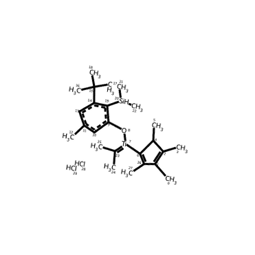 CC1=C(C)C(C)[C]([Ti]([O]c2cc(C)cc(C(C)(C)C)c2[SiH](C)C)=[C](C)C)=C1C.Cl.Cl